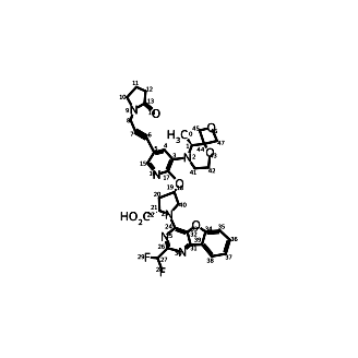 C[C@@H]1N(c2cc(C#CCN3CCCC3=O)cnc2O[C@H]2C[C@@H](C(=O)O)N(c3nc(C(F)F)nc4c3oc3ccccc34)C2)CCOC12COC2